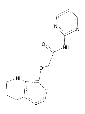 O=C(COc1cccc2c1NCCC2)Nc1ncccn1